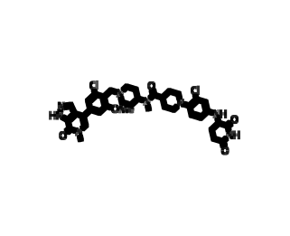 COc1cc(-c2cn(C)c(=O)c3[nH]ncc23)cc(Cl)c1CN1CCC(N(C)C(=O)C2CCN(c3ccc(NC4CCC(=O)NC4=O)cc3Cl)CC2)CC1